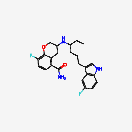 CCC(CCCc1c[nH]c2ccc(F)cc12)NC1COc2c(F)ccc(C(N)=O)c2C1